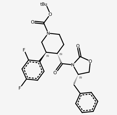 CC(C)(C)OC(=O)N1CC[C@H](C(=O)N2C(=O)OC[C@@H]2Cc2ccccc2)[C@@H](c2ccc(F)cc2F)C1